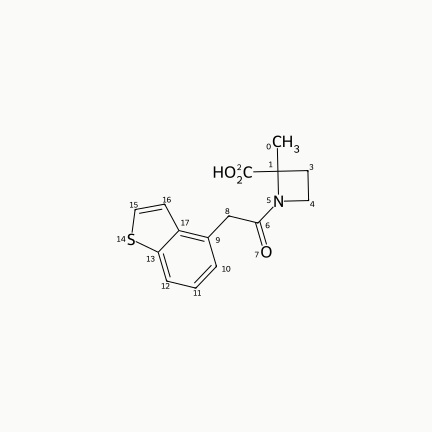 CC1(C(=O)O)CCN1C(=O)Cc1cccc2sccc12